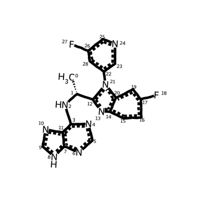 C[C@@H](Nc1ncnc2[nH]cnc12)c1nc2ccc(F)cc2n1-c1cncc(F)c1